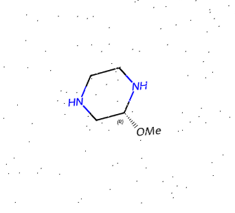 CO[C@@H]1CNCCN1